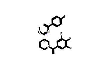 C=C(/N=C(\OC)[C@H]1CCCN(C(=C)c2cc(F)c(F)c(F)c2)C1)c1ccc(F)cc1